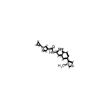 Cn1cncc1-c1ccc2nnc(NC(=O)c3cnn(C4CC4)c3)cc2c1